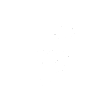 CC(C)(O)C1CCN(Cc2ccc3nc(-c4cccc5[nH]ncc45)nc(N4CCOCC4)c3n2)CC1